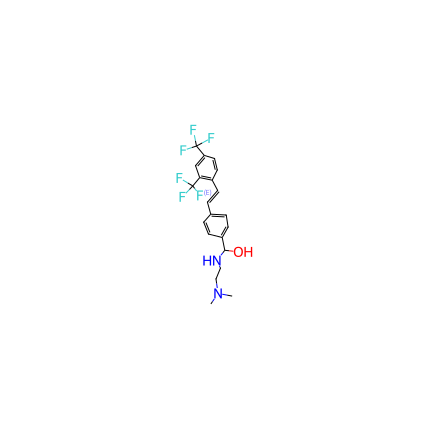 CN(C)CCNC(O)c1ccc(/C=C/c2ccc(C(F)(F)F)cc2C(F)(F)F)cc1